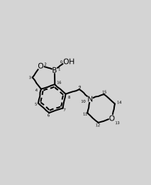 OB1OCc2cccc(CN3CCOCC3)c21